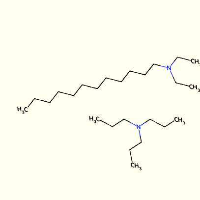 CCCCCCCCCCCCN(CC)CC.CCCN(CCC)CCC